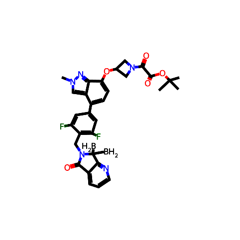 BC1(B)c2ncccc2C(=O)N1Cc1c(F)cc(-c2ccc(OC3CN(C(=O)C(=O)OC(C)(C)C)C3)c3nn(C)cc23)cc1F